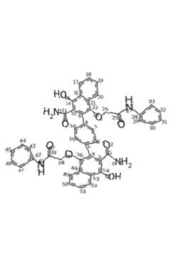 NC(=O)c1c(-c2ccc(-c3c(C(N)=O)c(O)c4ccccc4c3OCC(=O)Nc3ccccc3)cc2)c(OCC(=O)Nc2ccccc2)c2ccccc2c1O